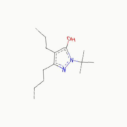 CCCCc1nn(C(C)(C)C)c(O)c1CCC